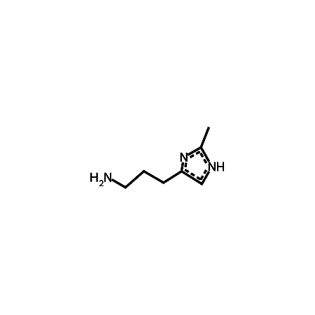 Cc1nc(CCCN)c[nH]1